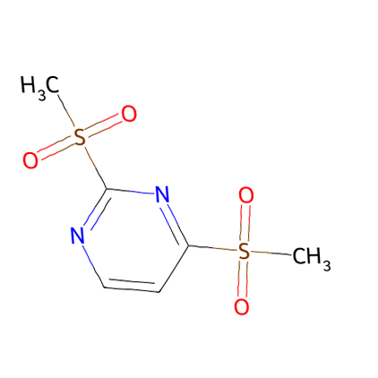 CS(=O)(=O)c1ccnc(S(C)(=O)=O)n1